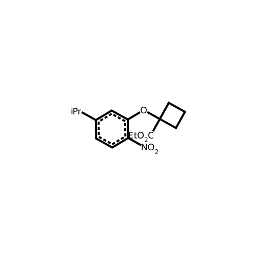 CCOC(=O)C1(Oc2cc(C(C)C)ccc2[N+](=O)[O-])CCC1